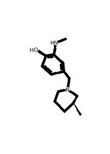 CNc1cc(CN2CCC[C@H](C)C2)ccc1O